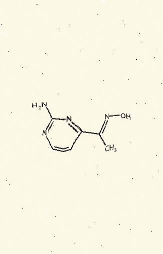 CC(=NO)c1ccnc(N)n1